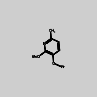 COc1nc(C)ccc1OC(C)C